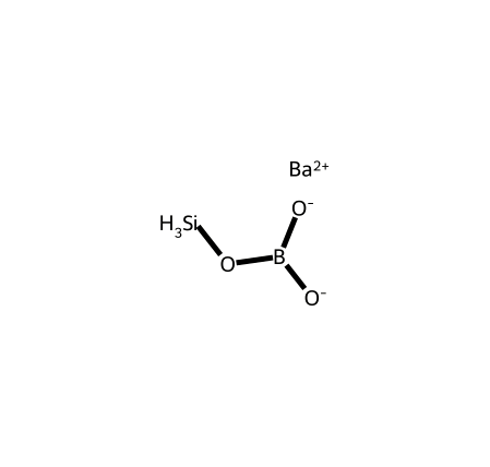 [Ba+2].[O-]B([O-])O[SiH3]